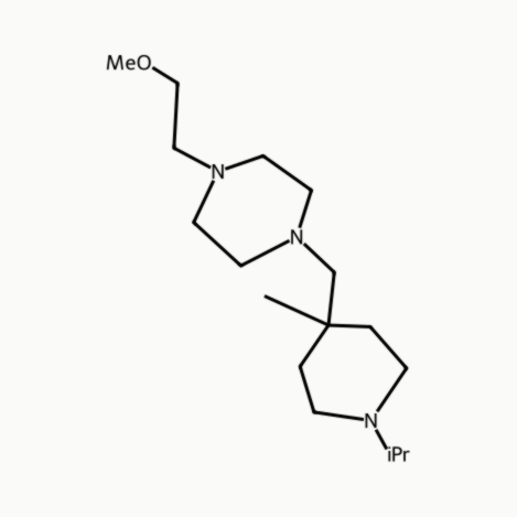 COCCN1CCN(CC2(C)CCN(C(C)C)CC2)CC1